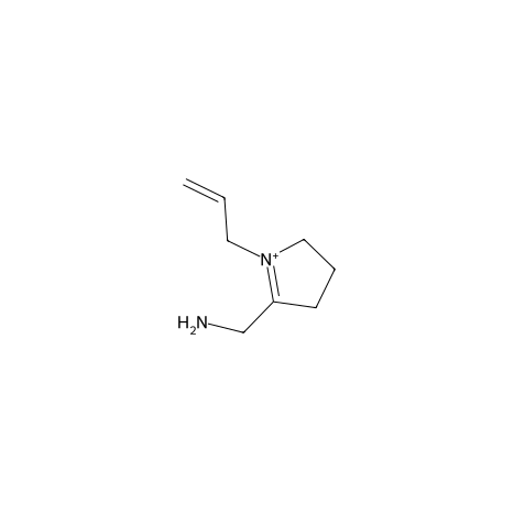 C=CC[N+]1=C(CN)CCC1